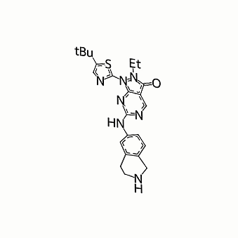 CCn1c(=O)c2cnc(Nc3ccc4c(c3)CCNC4)nc2n1-c1ncc(C(C)(C)C)s1